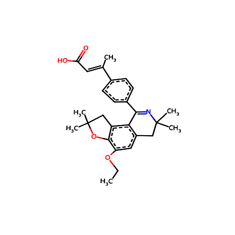 CCOc1cc2c(c3c1OC(C)(C)C3)C(c1ccc(C(C)=CC(=O)O)cc1)=NC(C)(C)C2